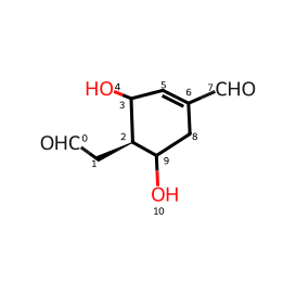 O=CC[C@H]1C(O)C=C(C=O)CC1O